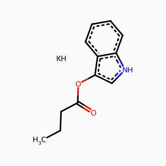 CCCC(=O)Oc1c[nH]c2ccccc12.[KH]